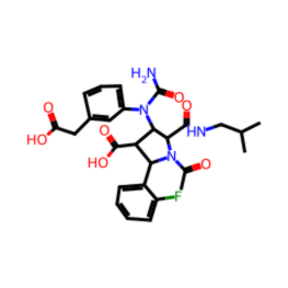 CC(=O)N1C(C(=O)NCC(C)C)C(N(C(N)=O)c2cccc(CC(=O)O)c2)C(C(=O)O)C1c1ccccc1F